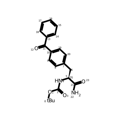 CC(C)(C)OC(=O)N[C@@H](Cc1ccc(C(=O)c2ccccc2)cc1)C(N)=O